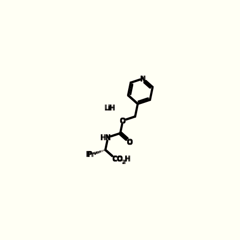 CC(C)[C@H](NC(=O)OCc1ccncc1)C(=O)O.[LiH]